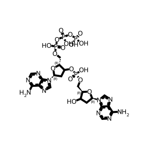 Nc1ncnc2c1ncn2[C@H]1CC(O)[C@@H](COP(=O)(O)OC2C[C@H](n3cnc4c(N)ncnc43)O[C@@H]2COP(=O)(O)OP(=O)(O)OP(=O)(O)O)O1